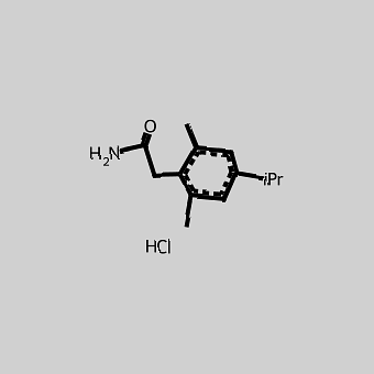 Cc1cc(C(C)C)cc(C)c1CC(N)=O.Cl